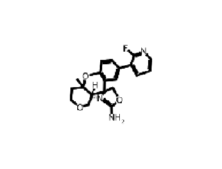 CC12CCOC[C@H]1C1(COC(N)=N1)c1cc(-c3cccnc3F)ccc1O2